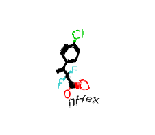 C=C(c1ccc(Cl)cc1)C(F)(F)C(=O)OCCCCCC